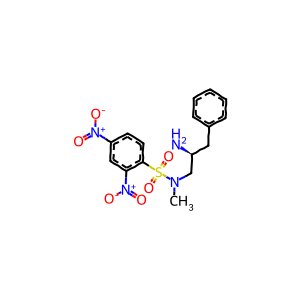 CN(C[C@@H](N)Cc1ccccc1)S(=O)(=O)c1ccc([N+](=O)[O-])cc1[N+](=O)[O-]